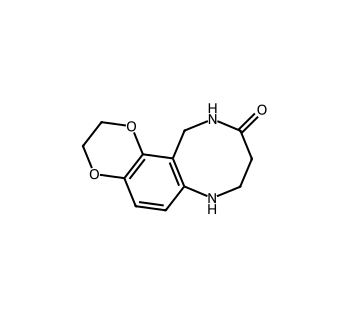 O=C1CCNc2ccc3c(c2CN1)OCCO3